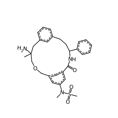 CN(c1cc2cc(c1)C(=O)NC(c1ccccc1)CCc1cccc(c1)CC(C)(N)COC2)S(C)(=O)=O